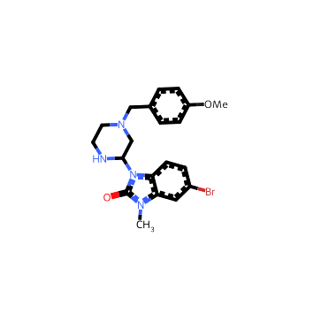 COc1ccc(CN2CCNC(n3c(=O)n(C)c4cc(Br)ccc43)C2)cc1